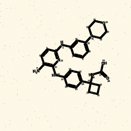 Nc1ccc(Nc2cccc(N3CCOCC3)c2)nc1Nc1ccc(C2(NC(=O)O)CCC2)cc1